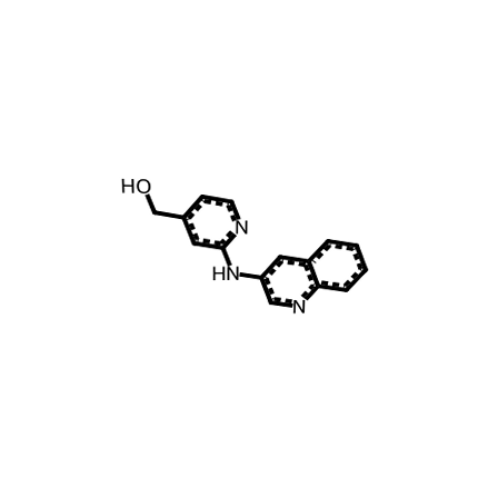 OCc1ccnc(Nc2cnc3ccccc3c2)c1